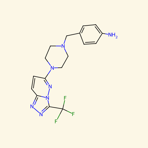 Nc1ccc(CN2CCN(c3ccc4nnc(C(F)(F)F)n4n3)CC2)cc1